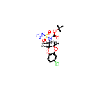 [2H]C1([2H])Oc2cc(Cl)ccc2OC1([2H])C([2H])([2H])N(C(=O)OC(C)(C)C)S(N)(=O)=O